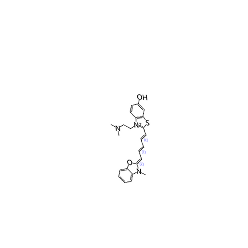 CN(C)CC[n+]1c(/C=C/C=C/C=C2\Oc3ccccc3N2C)sc2cc(O)ccc21